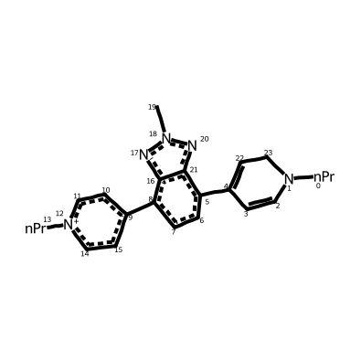 CCCN1C=CC(c2ccc(-c3cc[n+](CCC)cc3)c3nn(C)nc23)=CC1